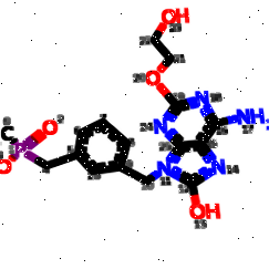 CP(=O)(O)Cc1cccc(Cn2c(O)nc3c(N)nc(OCCO)nc32)c1